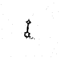 Cc1cccc(C#CC2=CCC2)c1